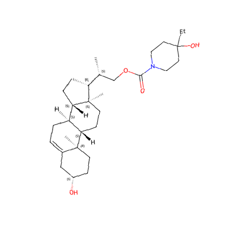 CCC1(O)CCN(C(=O)OC[C@@H](C)[C@H]2CC[C@H]3[C@@H]4CC=C5C[C@@H](O)CC[C@]5(C)[C@H]4CC[C@]23C)CC1